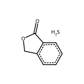 O=C1OCc2ccccc21.S